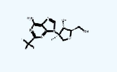 Nc1nc(C(F)(F)F)nc2c1ncn2[C@]1(F)CO[C@H](CO)[C@H]1O